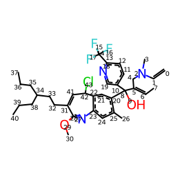 C=CN(C)C/C(=C\C)C(O)(c1ccc(C(F)(F)F)nc1)c1cc2c(cc1C)N=C(OC)C(CCC(CCC)CCC)=CC2Cl